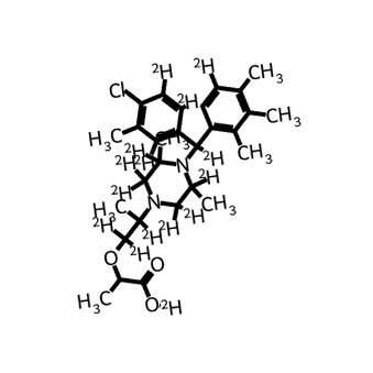 [2H]OC(=O)C(C)OC([2H])([2H])C([2H])(C)N1C([2H])([2H])C([2H])(C)N(C([2H])(c2cc([2H])c(C)c(C)c2C)c2c([2H])c([2H])c(Cl)c(C)c2[2H])C([2H])(C)C1([2H])[2H]